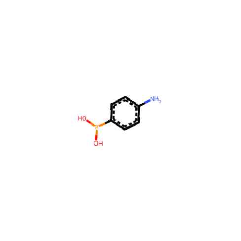 Nc1ccc(P(O)O)cc1